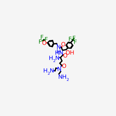 NCCN(CCN)C(=O)CCC(N)C(=O)NC(C(=O)NCc1ccc(OC(F)(F)F)cc1)[C@H](O)c1ccc(C(F)(F)F)cc1